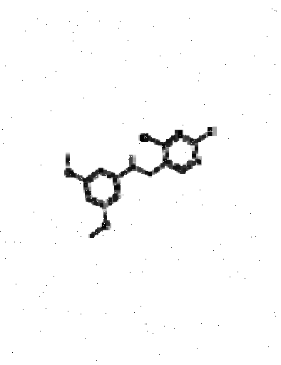 COc1cc(NCc2cnc(Cl)nc2Cl)cc(OC)c1